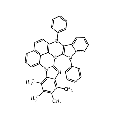 Cc1c(C)c(C)c2c(nc3n4c5c(ccc6cccc(c65)n23)B(c2ccccc2)c2c-4n(-c3ccccc3)c3ccccc23)c1C